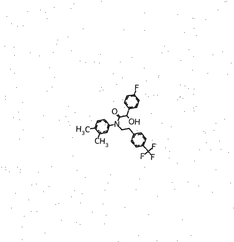 Cc1ccc(N(CCc2ccc(C(F)(F)F)cc2)C(=O)C(O)c2ccc(F)cc2)cc1C